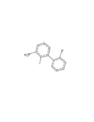 Cc1c(N)cccc1-c1ccccc1F